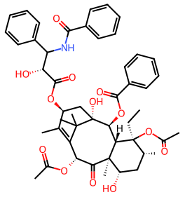 CC[C@]1(OC(C)=O)[C@H](C)C[C@H](O)[C@@]2(C)C(=O)[C@H](OC(C)=O)C3=C(C)[C@@H](OC(=O)[C@H](O)C(NC(=O)c4ccccc4)c4ccccc4)C[C@@](O)([C@@H](OC(=O)c4ccccc4)[C@H]12)C3(C)C